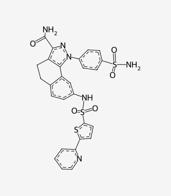 NC(=O)c1nn(-c2ccc(S(N)(=O)=O)cc2)c2c1CCc1ccc(NS(=O)(=O)c3ccc(-c4ccccn4)s3)cc1-2